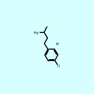 C[CH]([Mg+])CCc1ccc(Cl)cc1.[Br-]